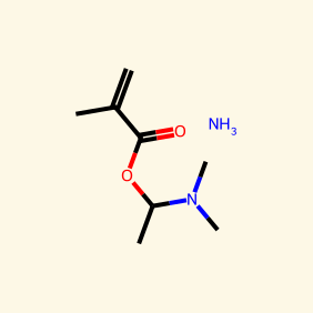 C=C(C)C(=O)OC(C)N(C)C.N